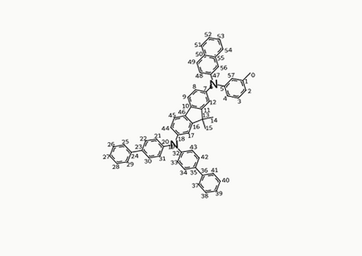 Cc1cccc(N(c2ccc3c(c2)C(C)(C)c2cc(N(c4ccc(-c5ccccc5)cc4)c4ccc(-c5ccccc5)cc4)ccc2-3)c2ccc3ccccc3c2)c1